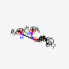 CC(C)CCC[C@@H](C)[C@H]1CC[C@H]2[C@@H]3CC=C4C[C@@H](OC(=O)CN(CCCCCCCCNC(=O)OC(C)(C)C)CCCNC(=O)OC(C)(C)C)CC[C@]4(C)[C@H]3CC[C@]12C